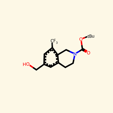 CC(C)(C)OC(=O)N1CCc2cc(CO)cc(C(F)(F)F)c2C1